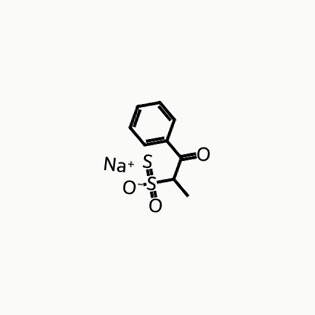 CC(C(=O)c1ccccc1)S(=O)([O-])=S.[Na+]